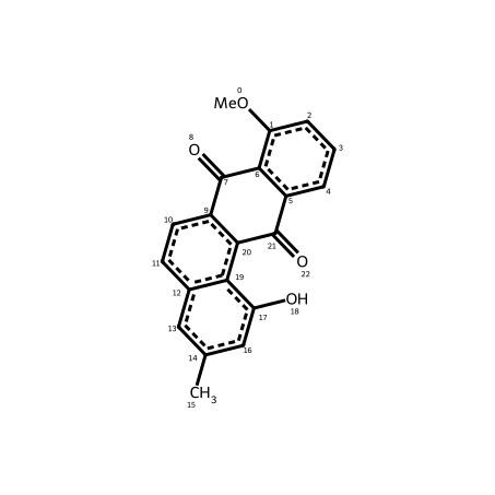 COc1cccc2c1C(=O)c1ccc3cc(C)cc(O)c3c1C2=O